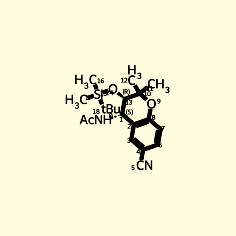 CC(=O)N[C@H]1c2cc(C#N)ccc2OC(C)(C)[C@@H]1O[Si](C)(C)C(C)(C)C